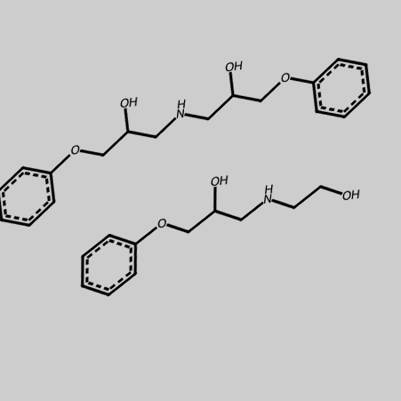 OC(CNCC(O)COc1ccccc1)COc1ccccc1.OCCNCC(O)COc1ccccc1